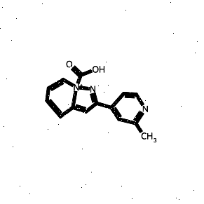 Cc1cc(C2=N[N+]3(C(=O)O)C=CC=CC3=C2)ccn1